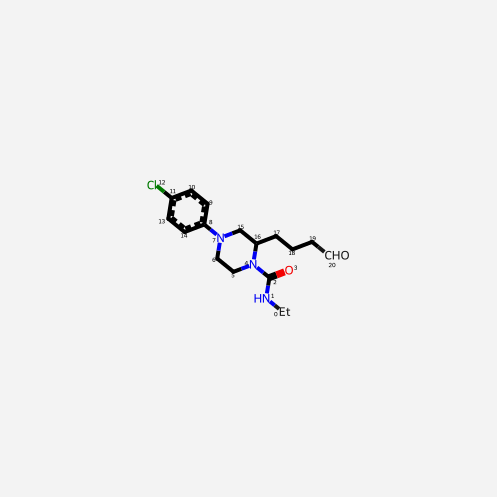 CCNC(=O)N1CCN(c2ccc(Cl)cc2)CC1CCCC=O